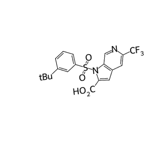 CC(C)(C)c1cccc(S(=O)(=O)n2c(C(=O)O)cc3cc(C(F)(F)F)ncc32)c1